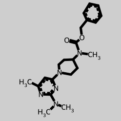 Cc1cc(N2CCC(N(C)C(=O)OCc3ccccc3)CC2)nc(N(C)C)n1